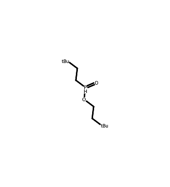 CC(C)(C)CCO[PH](=O)CCC(C)(C)C